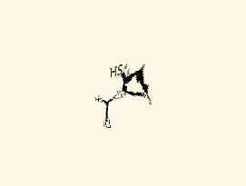 SC(Cl)Cl.Sc1ccncc1